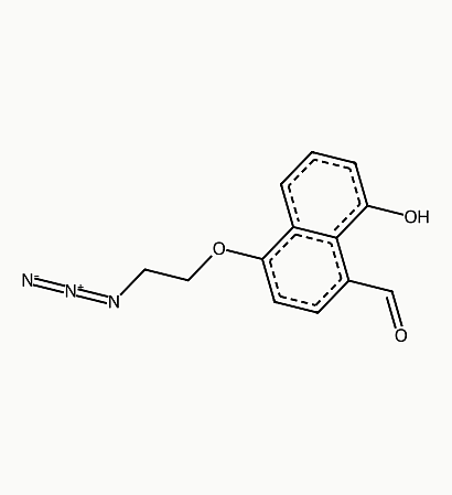 [N-]=[N+]=NCCOc1ccc(C=O)c2c(O)cccc12